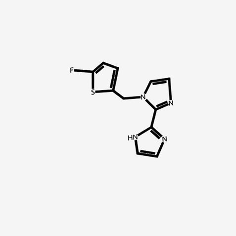 Fc1ccc(Cn2ccnc2-c2ncc[nH]2)s1